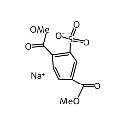 COC(=O)c1ccc(C(=O)OC)c(S(=O)(=O)[O-])c1.[Na+]